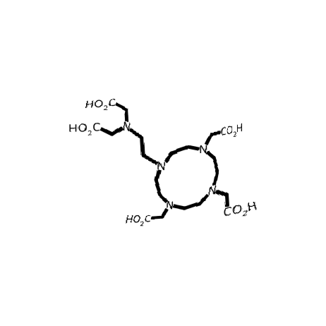 O=C(O)CN1CCN(CCN(CC(=O)O)CC(=O)O)CCN(CC(=O)O)CCN(CC(=O)O)CC1